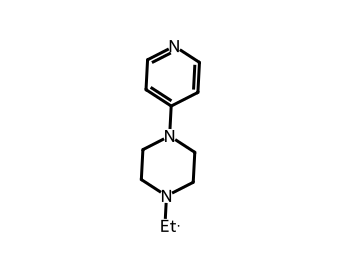 C[CH]N1CCN(c2ccncc2)CC1